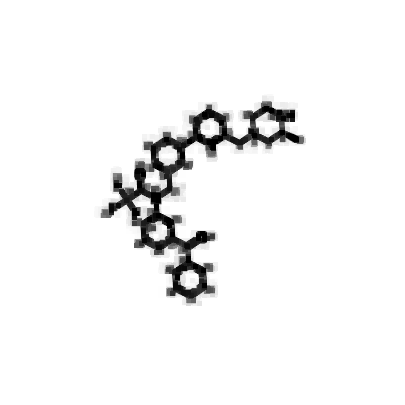 C[C@H]1CN(Cc2cccc(-c3cccc(CN(C(=O)C(F)(F)F)c4cccc(C(=O)c5ccccc5)c4)c3)n2)CCN1